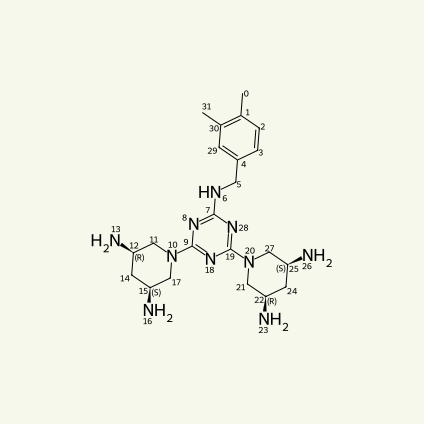 Cc1ccc(CNc2nc(N3C[C@H](N)C[C@H](N)C3)nc(N3C[C@H](N)C[C@H](N)C3)n2)cc1C